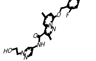 Cc1cc(OCc2c(F)ccc(F)c2F)n2nc(C)c(C(=O)Nc3cnn(CCO)c3)c2c1